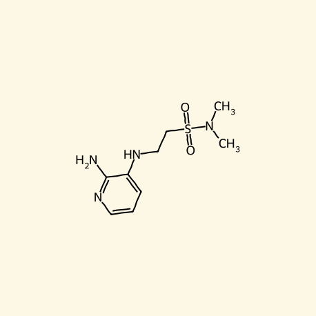 CN(C)S(=O)(=O)CCNc1cccnc1N